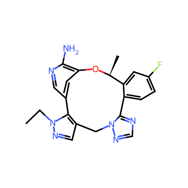 CCn1ncc2c1-c1cnc(N)c(c1)O[C@@H](C)c1cc(F)ccc1-c1ncnn1C2